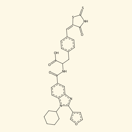 O=C1NC(=S)SC1=Cc1ccc(CC(NC(=O)c2ccc3c(c2)nc(-c2ccoc2)n3C2CCCCC2)C(=O)O)cc1